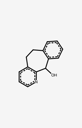 OC1c2ccccc2CCc2cccnc21